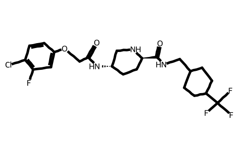 O=C(COc1ccc(Cl)c(F)c1)N[C@H]1CC[C@H](C(=O)NCC2CCC(C(F)(F)F)CC2)NC1